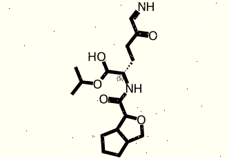 CC(C)OC(O)[C@H](CCC(=O)C=N)NC(=O)C1OCC2CCCC21